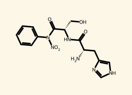 N[C@@H](Cc1c[nH]cn1)C(=O)N[C@@H](CO)C(=O)N(c1ccccc1)[N+](=O)[O-]